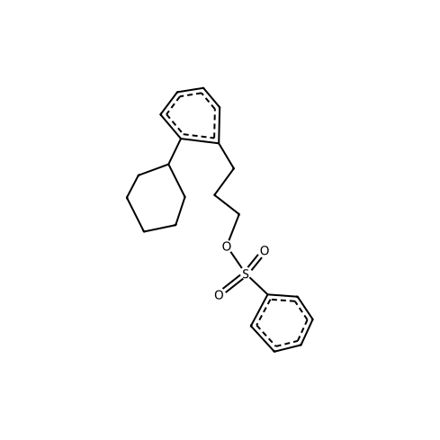 O=S(=O)(OCCCc1ccccc1C1CCCCC1)c1ccccc1